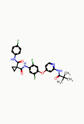 CC(C)(C)C(=O)Nc1cc(Oc2cc(F)c(NC(=O)C3(C(=O)Nc4ccc(F)cc4)CC3)cc2F)ccn1